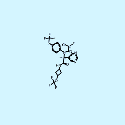 C[C@@](C(=O)NC1CC(OC(F)(F)F)C1)(c1cncnc1)N(C(=O)[C@H](F)Cl)c1ccc(SC(F)(F)F)cc1